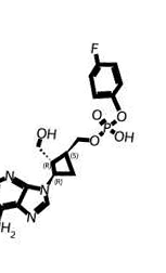 Nc1ncnc2c1ncn2[C@@H]1C[C@H](COP(=O)(O)Oc2ccc(F)cc2)[C@H]1CO